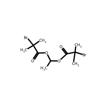 CC(OC(=O)C(C)(C)Br)OC(=O)C(C)(C)Br